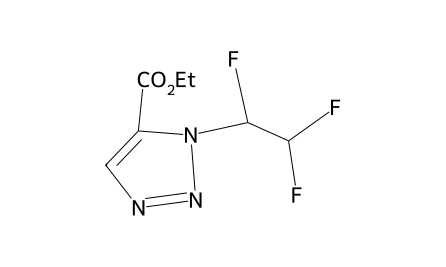 CCOC(=O)c1cnnn1C(F)C(F)F